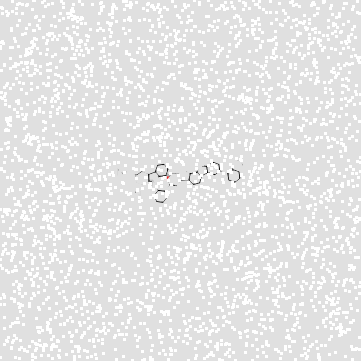 N#CC1=Cc2c(n(-c3c(C#N)cccc3C3=CC4c5ccc6c(sc7ccc(-c8ccccc8C#N)cc76)c5SC4C=C3)c3ccccc23)CC1